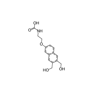 O=C(O)NCCOc1ccc2cc(CO)c(CO)cc2c1